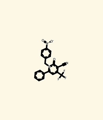 N#Cc1c(C(F)(F)F)cc(-c2ccccc2)n(Cc2ccc([N+](=O)[O-])cc2)c1=O